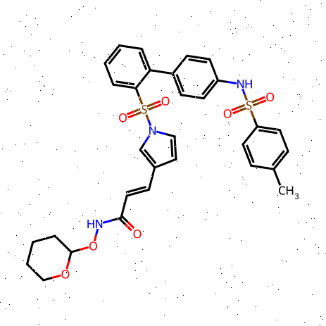 Cc1ccc(S(=O)(=O)Nc2ccc(-c3ccccc3S(=O)(=O)n3ccc(C=CC(=O)NOC4CCCCO4)c3)cc2)cc1